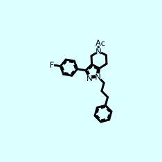 CC(=O)N1CCc2c(c(-c3ccc(F)cc3)nn2CCCc2ccccc2)C1